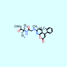 COC(=O)C(C)(C)NC(=O)CN(C)c1ccc2c(-c3ccccc3C)cc(=O)oc2n1